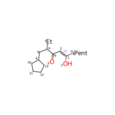 CCCC(C)/C(O)=C/C(=O)C(CC)CC1CCCC1